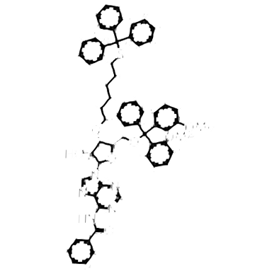 COc1cccc(C(OC[C@H]2O[C@@H](n3cnc4c(NC(=O)c5ccccc5)ncnc43)[C@H](O)[C@@H]2OCCCCCCSC(c2ccccc2)(c2ccccc2)c2ccccc2)(c2ccccc2)c2ccccc2)c1OC